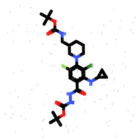 CC(C)(C)OC(=O)NCC1CCCN(c2c(F)cc(C(=O)NNC(=O)OC(C)(C)C)c(NC3CC3)c2Cl)C1